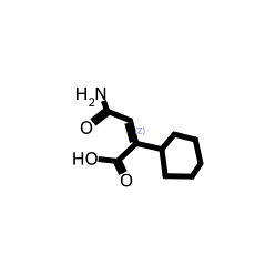 NC(=O)/C=C(\C(=O)O)C1CCCCC1